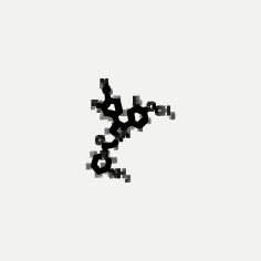 COc1ccc(-c2nn(CC(=O)N3CCC[C@@H](N)C3)cc2-c2ccc(C#N)c(F)c2)cc1F